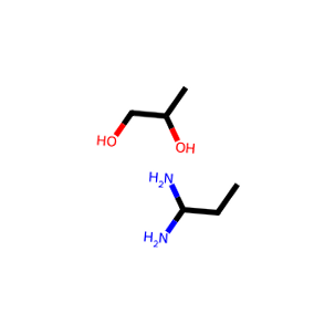 CC(O)CO.CCC(N)N